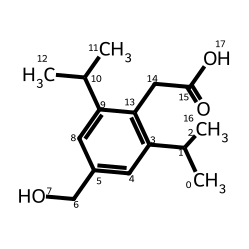 CC(C)c1cc(CO)cc(C(C)C)c1CC(=O)O